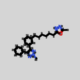 Cc1nnc(CCCCCCc2cccc(-c3nn(C)nc3-c3ccccc3)c2)o1